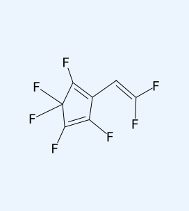 FC(F)=CC1=C(F)C(F)(F)C(F)=C1F